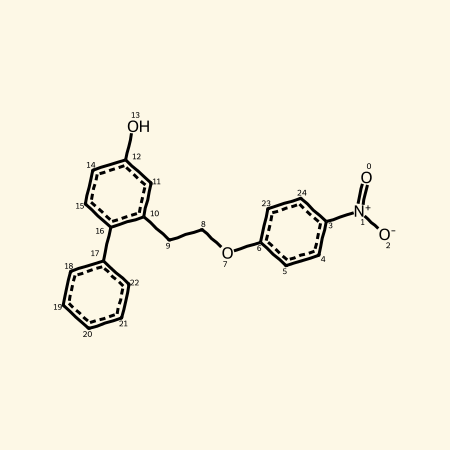 O=[N+]([O-])c1ccc(OCCc2cc(O)ccc2-c2ccccc2)cc1